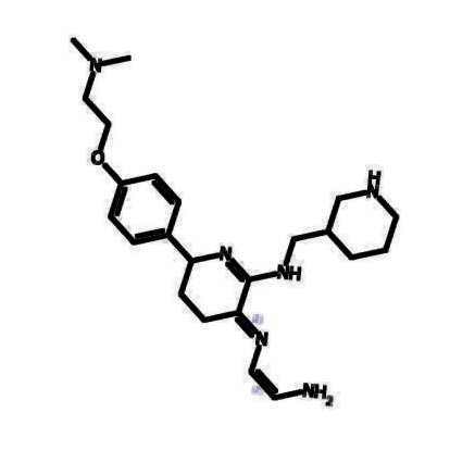 CN(C)CCOc1ccc(C2CC/C(=N\C=C/N)C(NCC3CCCNC3)=N2)cc1